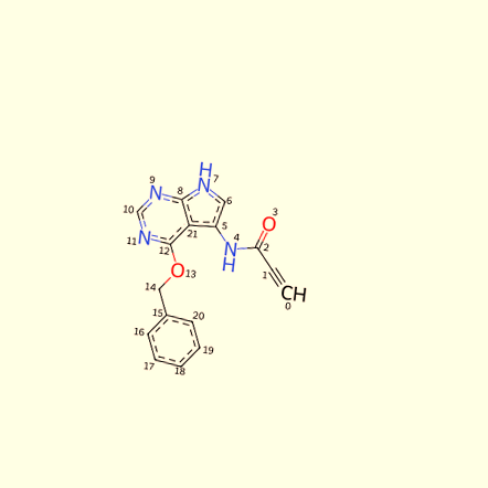 C#CC(=O)Nc1c[nH]c2ncnc(OCc3ccccc3)c12